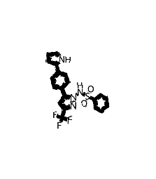 O=S(=O)(Nn1nc(C(F)(F)F)cc1-c1ccc(-c2ccc[nH]2)cc1)c1ccccc1